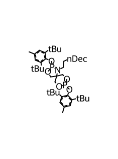 CCCCCCCCCCCCN1P(Oc2c(C(C)(C)C)cc(C)cc2C(C)(C)C)OCC12COP(Oc1c(C(C)(C)C)cc(C)cc1C(C)(C)C)OC2